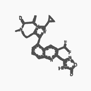 CC1C(=O)N(C)Cc2c(-c3cccc4nc(-c5noc(=O)[nH]5)c(C(F)F)cc34)nc(C3CC3)n21